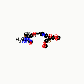 Cc1sc2c(c1C)C(c1ccc(OCCCCC3CCN(c4ccc(C(=O)c5c(-c6ccc(OC7CCCCO7)cc6)sc6cc(OC7CCCCO7)ccc56)cc4)CC3)cc1)=N[C@@H](Cc1ncco1)c1nnc(C)n1-2